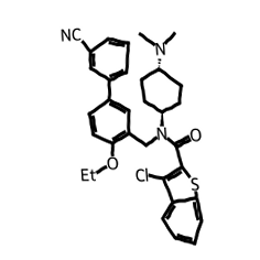 CCOc1ccc(-c2cccc(C#N)c2)cc1CN(C(=O)c1sc2ccccc2c1Cl)[C@H]1CC[C@H](N(C)C)CC1